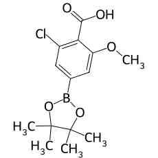 COc1cc(B2OC(C)(C)C(C)(C)O2)cc(Cl)c1C(=O)O